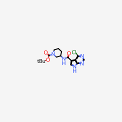 CC(C)(C)OC(=O)N1CCCC(NC(=O)c2c[nH]c3ncnc(Cl)c23)C1